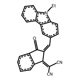 CCn1c2ccccc2c2cc(C=C3C(=O)c4ccccc4C3=C(C#N)C#N)ccc21